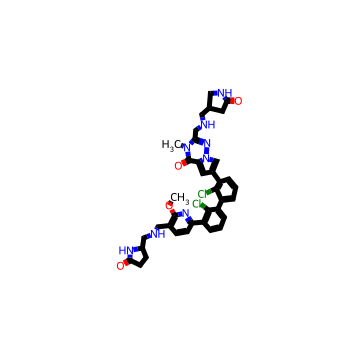 COc1nc(-c2cccc(-c3cccc(-c4cc5c(=O)n(C)c(CNCC6CNC(=O)C6)nn5c4)c3Cl)c2Cl)ccc1CNCC1CCC(=O)N1